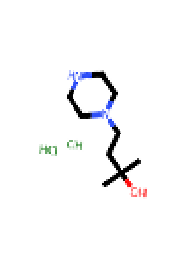 CC(C)(O)CCN1CCNCC1.Cl.Cl